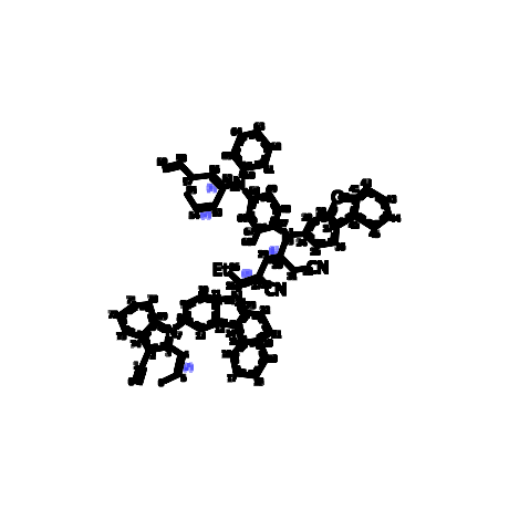 C#Cc1c(/C=C\C)n(-c2ccc3c(c2)c2c4ccccc4ccc2n3/C(CC)=C(C#N)/C=C(\CC#N)N(c2ccc3c(c2)oc2ccccc23)c2ccc(N(C(/C=C\C)=C/CC=C)c3ccccc3)cc2C)c2ccccc12